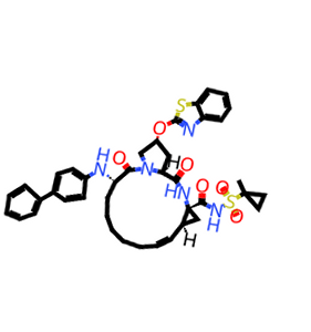 CC1(S(=O)(=O)NC(=O)[C@@]23C[C@H]2/C=C\CCCCC[C@H](Nc2ccc(-c4ccccc4)cc2)C(=O)N2C[C@H](Oc4nc5ccccc5s4)C[C@H]2C(=O)N3)CC1